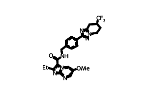 CCc1nc2ncc(OC)cn2c1C(=O)NCc1ccc(-c2nc3n(n2)CCC(C(F)(F)F)C3)cc1